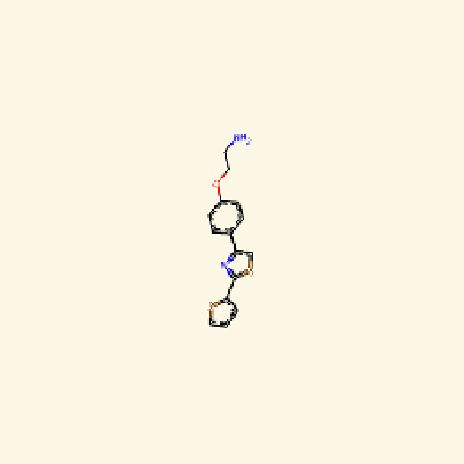 NCCOc1ccc(-c2csc(-c3cccs3)n2)cc1